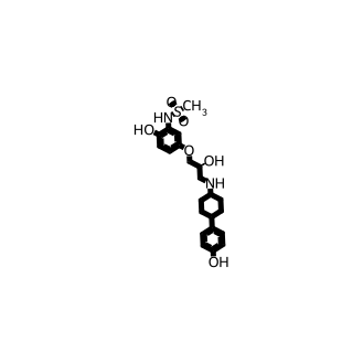 CS(=O)(=O)Nc1cc(OC[C@H](O)CNC2CCC(c3ccc(O)cc3)CC2)ccc1O